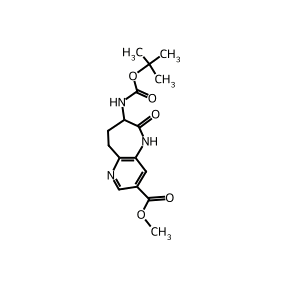 COC(=O)c1cnc2c(c1)NC(=O)C(NC(=O)OC(C)(C)C)CC2